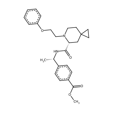 COC(=O)c1ccc([C@H](C)NC(=O)[C@H]2CC3(CCN2CCOc2ccccc2)CC3)cc1